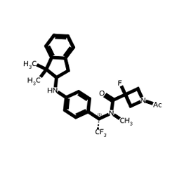 CC(=O)N1CC(F)(C(=O)N(C)[C@@H](c2ccc(NC3Cc4ccccc4C3(C)C)cc2)C(F)(F)F)C1